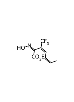 C\C=C/C=C(\C(=N\O)C(=O)OCC)C(F)(F)F